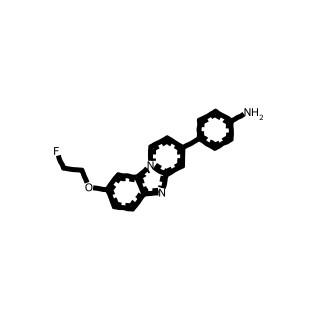 Nc1ccc(-c2ccn3c(c2)nc2ccc(OCCF)cc23)cc1